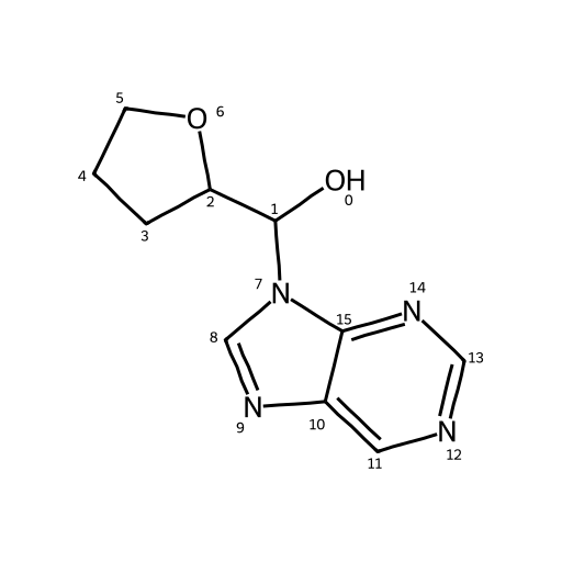 OC(C1CCCO1)n1cnc2cncnc21